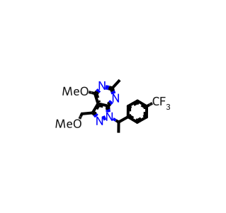 COCc1nn(C(C)c2ccc(C(F)(F)F)cc2)c2nc(C)nc(OC)c12